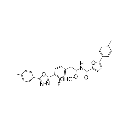 Cc1ccc(-c2ccc(C(=O)NC(Cc3ccc(-c4nnc(-c5ccc(C)cc5)o4)c(F)c3)OC=O)o2)cc1